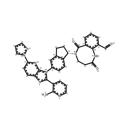 Nc1ncccc1-c1nc2ccc(-n3cccn3)nc2n1-c1ccc2c(c1)CC[C@@H]2N1CCC(=O)Nc2c(C=O)cccc2C1=O